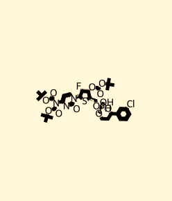 CC(C)(C)OC(=O)O[C@H]1[C@H](F)[C@H](n2ccc(N(C(=O)OC(C)(C)C)C(=O)OC(C)(C)C)nc2=O)S[C@@H]1CO[PH]1(O)OCCC(c2cccc(Cl)c2)O1